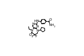 CCN1C(=O)C(F)(F)CN(C2CCCC2)c2nc(Nc3ccc(C(N)=O)cc3)ncc21